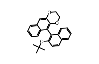 CC(C)(C)Oc1ccc2ccccc2c1-c1c2c(cc3ccccc13)OCCO2